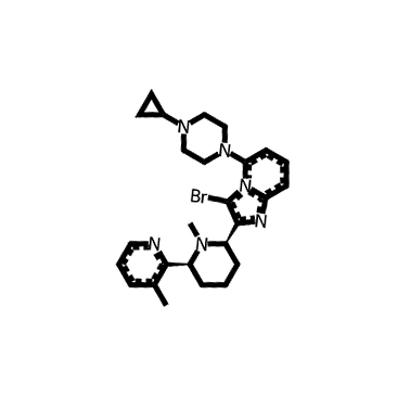 Cc1cccnc1[C@@H]1CCC[C@H](c2nc3cccc(N4CCN(C5CC5)CC4)n3c2Br)N1C